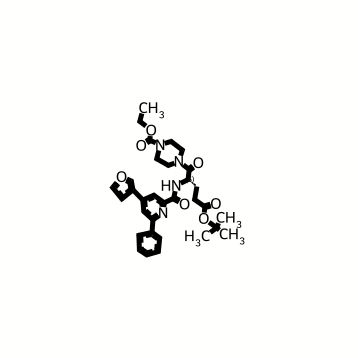 CCOC(=O)N1CCN(C(=O)[C@H](CCC(=O)OC(C)(C)C)NC(=O)c2cc(-c3ccoc3)cc(-c3ccccc3)n2)CC1